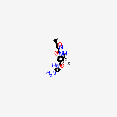 Cc1cc(C(=O)NC2CCC(N)C2)ccc1NC(=O)c1cc(C2CC2)on1